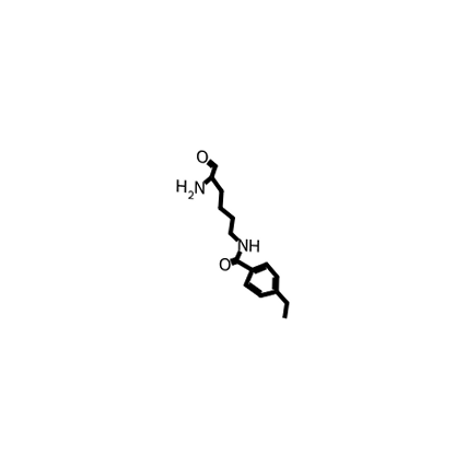 CCc1ccc(C(=O)NCCCCC(N)C=O)cc1